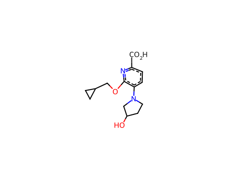 O=C(O)c1ccc(N2CCC(O)C2)c(OCC2CC2)n1